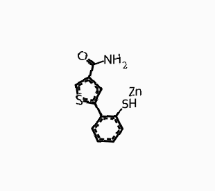 NC(=O)c1csc(-c2ccccc2S)c1.[Zn]